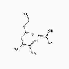 CCOC(=O)CN(C)C(=N)N.O=C(O)O